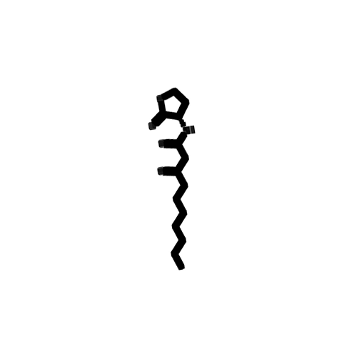 CCCCCCCC(=O)CC(=O)N[C@H]1CCOC1=O